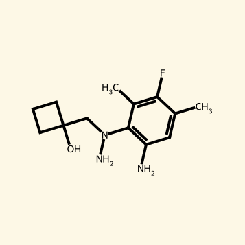 Cc1cc(N)c(N(N)CC2(O)CCC2)c(C)c1F